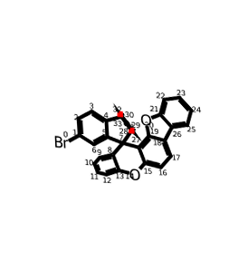 Brc1ccc2c(c1)C1(c3ccccc3Oc3ccc4c(oc5ccccc54)c31)c1ccccc1-2